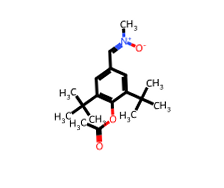 CC(=O)Oc1c(C(C)(C)C)cc(C=[N+](C)[O-])cc1C(C)(C)C